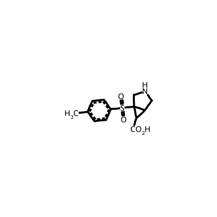 Cc1ccc(S(=O)(=O)C23CNCC2C3C(=O)O)cc1